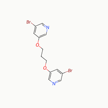 Brc1cncc(OCCCOc2cncc(Br)c2)c1